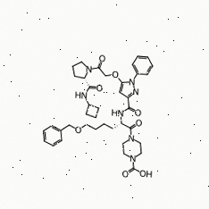 O=C(N[C@@H](CCCCOCc1ccccc1)C(=O)N1CCN(C(=O)O)CC1)c1cc(OCC(=O)N2CCC[C@H]2C(=O)NC2CCC2)n(-c2ccccc2)n1